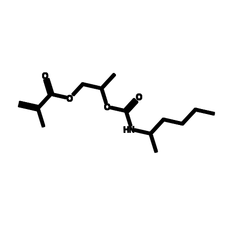 C=C(C)C(=O)OCC(C)OC(=O)NC(C)CCCC